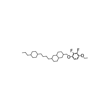 CCCC1CCC(CCCCC2CCC3CC(COc4ccc(OCC)c(F)c4F)CCC3C2)CC1